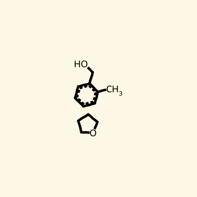 C1CCOC1.Cc1ccccc1CO